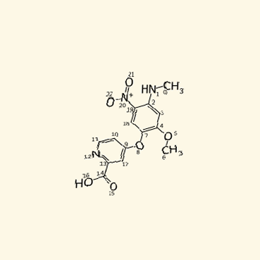 CNc1cc(OC)c(Oc2ccnc(C(=O)O)c2)cc1[N+](=O)[O-]